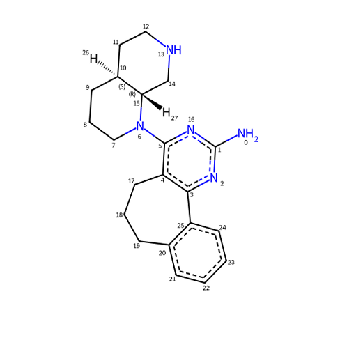 Nc1nc2c(c(N3CCC[C@H]4CCNC[C@@H]43)n1)CCCc1ccccc1-2